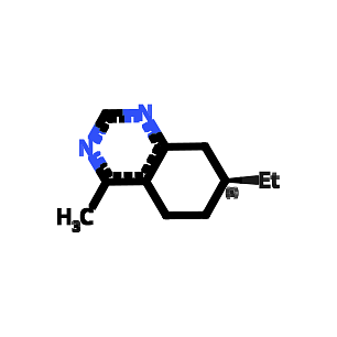 CC[C@H]1CCc2c(C)ncnc2C1